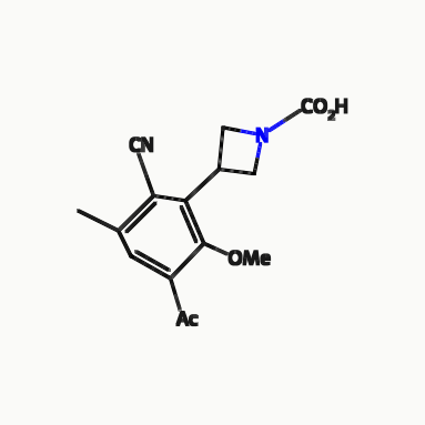 COc1c(C(C)=O)cc(C)c(C#N)c1C1CN(C(=O)O)C1